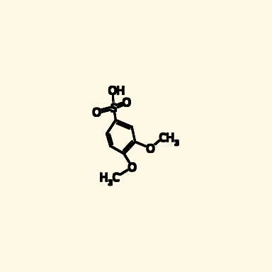 COc1ccc(S(=O)(=O)O)cc1OC